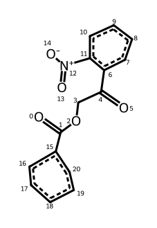 O=C(OCC(=O)c1ccccc1[N+](=O)[O-])c1ccccc1